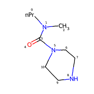 CCCN(C)C(=O)N1CCNCC1